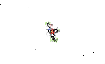 CC12CC=C(C(F)(C(F)(F)F)C(F)(F)F)C=C1CC[C@H]1N(C(=O)CC(F)(F)F)CC[C@]12S(=O)(=O)c1ccc(F)cc1